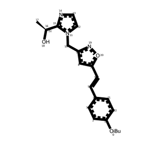 CC(C)COc1ccc(C=Cc2cc(Cn3ccnc3[C@H](C)O)no2)cc1